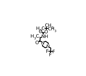 C[C@H](NC(=O)OC(C)(C)C)C(=O)N1CCN(CC(F)(F)F)CC1